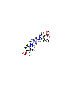 COc1ccc(N2CCN(CCn3ccc4c3CCCC4=O)CC2)c(C)c1C